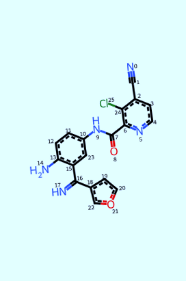 N#Cc1ccnc(C(=O)Nc2ccc(N)c(C(=N)c3ccoc3)c2)c1Cl